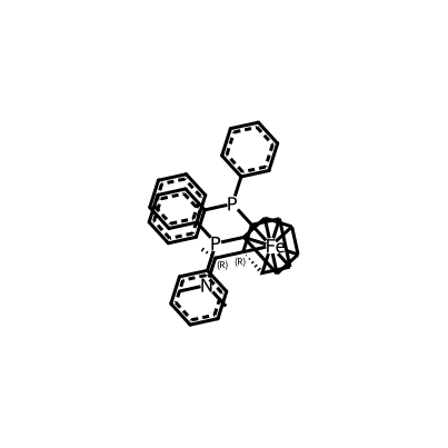 C[C@@H](N(C)C)[C@@]12[CH]3[CH]4[CH]5[C]1(P(c1ccccc1)c1ccccc1)[Fe]45321678[CH]2[CH]1[CH]6[C]7(P(c1ccccc1)c1ccccc1)[CH]28